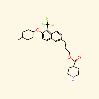 CC1CCC(Oc2ccc3cc(CCCOC(=O)C4CCNCC4)ccc3c2C(F)(F)F)CC1